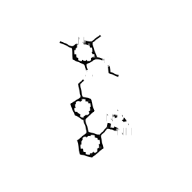 CCOc1c(OCc2ccc(-c3ccccc3-c3nnn[nH]3)cc2)cc(C)nc1C